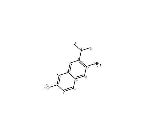 CC(C)c1cc2cc(O)ccc2cc1N